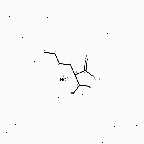 CCCC[C@@](O)(C(N)=O)C(C)C